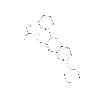 CC(=O)NCC1=Cc2cc(N3CCOCC3)ccc2OC1c1ccccc1